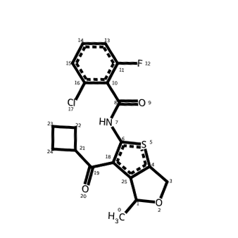 CC1OCc2sc(NC(=O)c3c(F)cccc3Cl)c(C(=O)C3CCC3)c21